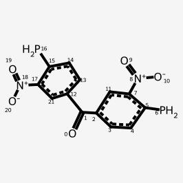 O=C(c1ccc(P)c([N+](=O)[O-])c1)c1ccc(P)c([N+](=O)[O-])c1